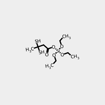 CCO[Si](OCC)(OCC)OC(=O)CC(C)(S)S